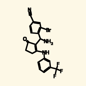 N#Cc1ccc(C(N)C2=C(Nc3cccc(C(F)(F)F)c3)CCC2=O)c(Br)c1